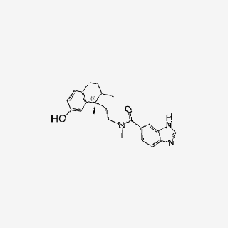 CC1CCc2ccc(O)cc2[C@@]1(C)CCN(C)C(=O)c1ccc2nc[nH]c2c1